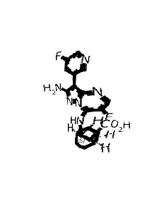 Nc1nn2c(N[C@H]3[C@H]4CC[C@H](CC4)[C@@H]3C(=O)O)c(F)cnc2c1-c1cncc(F)c1